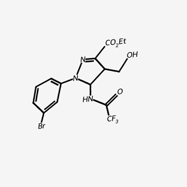 CCOC(=O)C1=NN(c2cccc(Br)c2)C(NC(=O)C(F)(F)F)C1CO